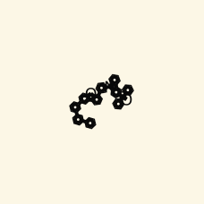 O=P(c1ccccc1)(c1ccccc1)c1ccc2c(c1)c1ccccc1n2-c1cccc(-c2cccc3c2oc2ccc(-c4cccc(-c5cccc(-c6ccccc6)c5)c4)cc23)c1